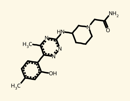 Cc1ccc(-c2nnc(NC3CCCN(CC(N)=O)C3)nc2C)c(O)c1